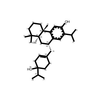 CC(C)c1cc2c(cc1O)[C@@]1(C)CCCC(C)(C)[C@@H]1C[C@H]2CC1=CCC(O)(C(C)C)CC1